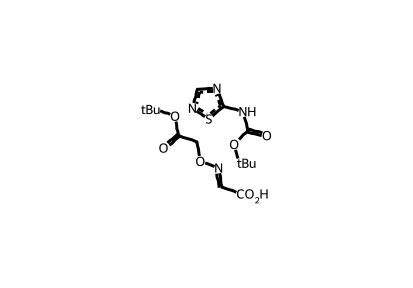 CC(C)(C)OC(=O)CON=CC(=O)O.CC(C)(C)OC(=O)Nc1ncns1